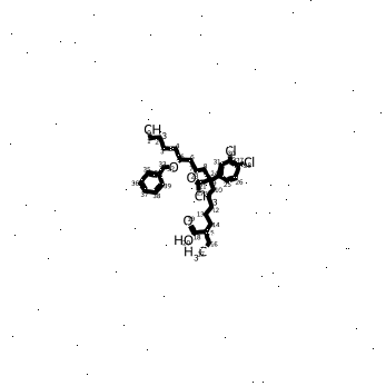 CCCCCC(CCCC(CCCCCC(CC)C(=O)O)(C(C)=O)c1ccc(Cl)c(Cl)c1)OCc1ccccc1